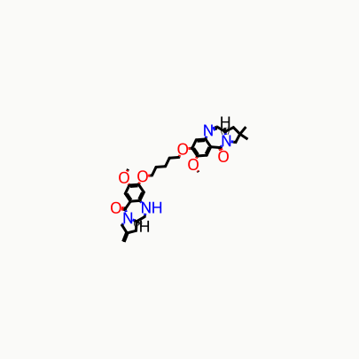 C=C1C[C@H]2CNc3cc(OCCCCCOc4cc5c(cc4OC)C(=O)N4CC(C)(C)C[C@H]4C=N5)c(OC)cc3C(=O)N2C1